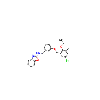 Cc1cc(Cl)cc(COc2cccc(CNc3nc4ccccc4o3)c2)c1OCC#N